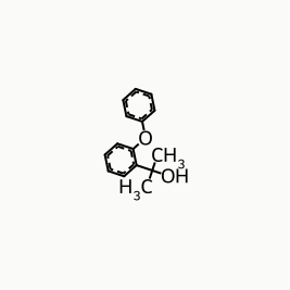 CC(C)(O)c1ccccc1Oc1ccccc1